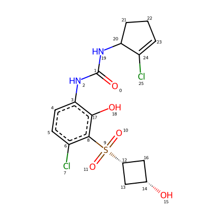 O=C(Nc1ccc(Cl)c(S(=O)(=O)[C@H]2C[C@@H](O)C2)c1O)NC1CCC=C1Cl